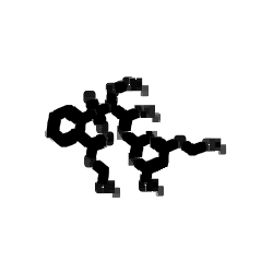 CCOC(=O)c1ccccc1S(=O)(=O)N(OC)C(N)=Nc1nc(C)cc(OCC)n1